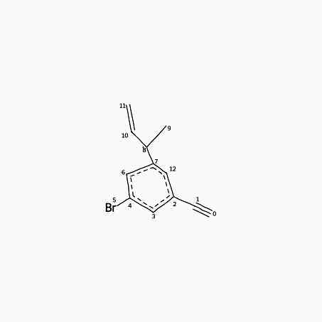 C#Cc1cc(Br)cc([C](C)C=C)c1